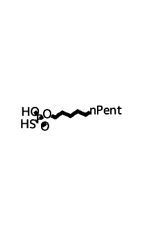 CCCCCCCCCCOP(=O)(O)S